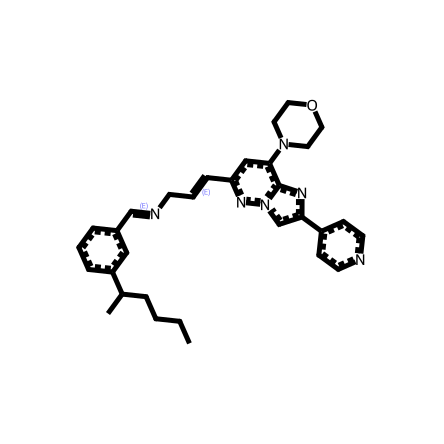 CCCCC(C)c1cccc(/C=N/C/C=C/c2cc(N3CCOCC3)c3nc(-c4ccncc4)cn3n2)c1